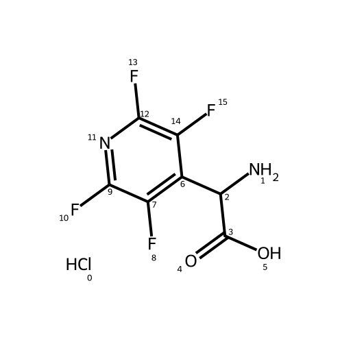 Cl.NC(C(=O)O)c1c(F)c(F)nc(F)c1F